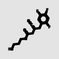 O=C=C(CC(=O)OCCCO)Cc1cc(F)c(F)cc1F